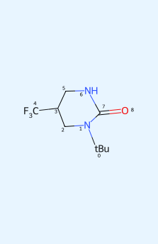 CC(C)(C)N1CC(C(F)(F)F)CNC1=O